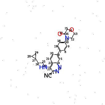 N#Cc1nnc2cc(-c3ccc(N4CCOCC4=O)cc3)ccc2c1NCCC1CC1